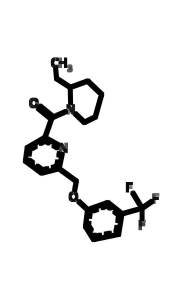 CCC1CCCCN1C(=O)c1cccc(COc2cccc(C(F)(F)F)c2)n1